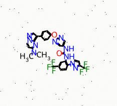 CN(C)c1ccn2ncc(-c3ccc(Oc4ncc(NC(=O)Nc5cc(C(F)(F)F)ccc5-n5ccc(C(F)(F)F)n5)cn4)cc3)c2n1